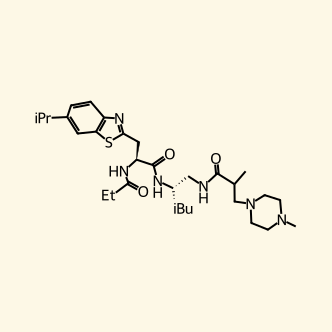 CCC(=O)N[C@@H](Cc1nc2ccc(C(C)C)cc2s1)C(=O)N[C@H](CNC(=O)C(C)CN1CCN(C)CC1)[C@@H](C)CC